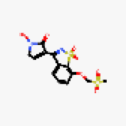 CS(=O)(=O)COc1cccc2c1S(=O)(=O)N=C2C1=CCN(O)C1=O